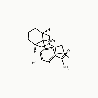 CO[C@]1(c2ccnc(C(N)=O)c2)[C@@H]2CCC[C@H]1CN(C1CC(C)C1)C2.Cl